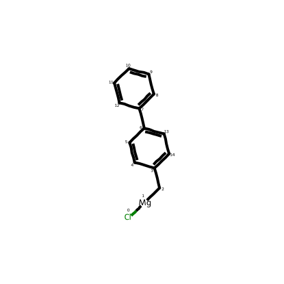 [Cl][Mg][CH2]c1ccc(-c2ccccc2)cc1